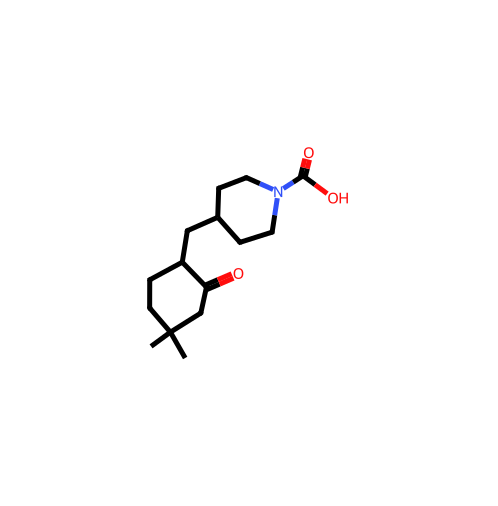 CC1(C)CCC(CC2CCN(C(=O)O)CC2)C(=O)C1